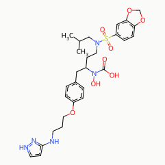 CC(C)CN(CCC(Cc1ccc(OCCCNc2cc[nH]n2)cc1)N(O)C(=O)O)S(=O)(=O)c1ccc2c(c1)OCO2